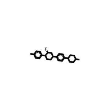 Cc1ccc(C2CCC(c3ccc(C4CCC(C)CC4)cc3)CC2F)cc1